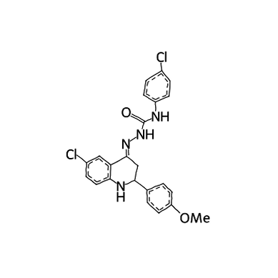 COc1ccc(C2CC(=NNC(=O)Nc3ccc(Cl)cc3)c3cc(Cl)ccc3N2)cc1